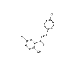 O=C(C=Cc1ccc(Cl)cc1)c1cc(Cl)ccc1O